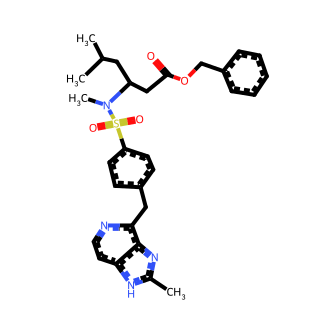 Cc1nc2c(Cc3ccc(S(=O)(=O)N(C)C(CC(=O)OCc4ccccc4)CC(C)C)cc3)nccc2[nH]1